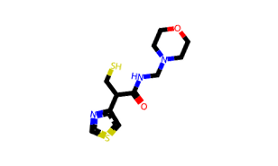 O=C(NCN1CCOCC1)C(CS)c1cscn1